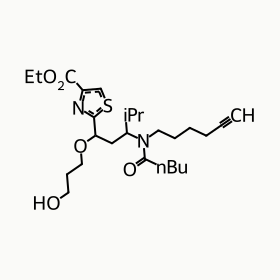 C#CCCCCN(C(=O)CCCC)C(CC(OCCCO)c1nc(C(=O)OCC)cs1)C(C)C